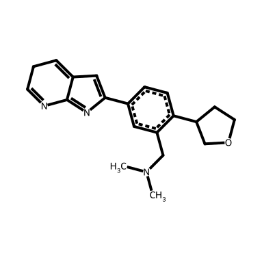 CN(C)Cc1cc(C2=CC3=CCC=NC3=N2)ccc1C1CCOC1